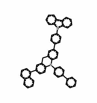 c1ccc(-c2ccc(N3c4ccc(-c5ccc(-n6c7ccccc7c7ccccc76)cc5)cc4Cc4cc(-c5cccc6ccccc56)ccc43)cc2)cc1